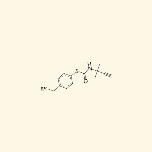 C#CC(C)(C)NC(=O)Sc1ccc(CC(C)C)cc1